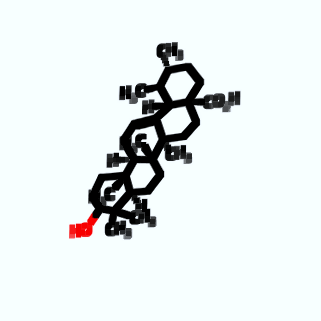 C[C@H]1[C@H](C)CC[C@]2(C(=O)O)CC[C@]3(C)C(=CC[C@@H]4[C@@]5(C)CCC(O)C(C)(C)[C@@H]5CC[C@]43C)[C@H]12